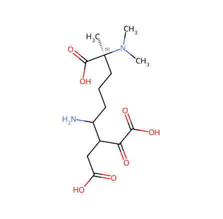 CN(C)[C@@](C)(CCCC(N)C(CC(=O)O)C(=O)C(=O)O)C(=O)O